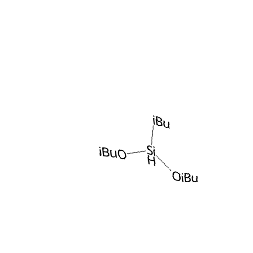 CCC(C)[SiH](OCC(C)C)OCC(C)C